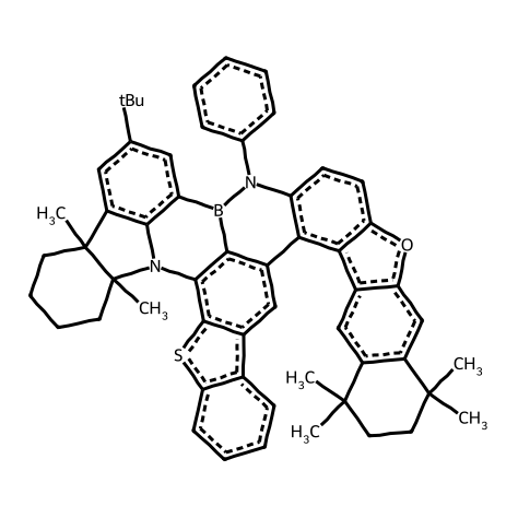 CC(C)(C)c1cc2c3c(c1)C1(C)CCCCC1(C)N3c1c3c(cc4c1sc1ccccc14)-c1c(ccc4oc5cc6c(cc5c14)C(C)(C)CCC6(C)C)N(c1ccccc1)B23